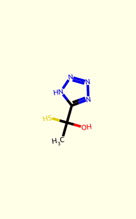 CC(O)(S)c1nnn[nH]1